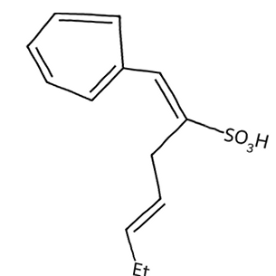 CCC=CCC(=Cc1ccccc1)S(=O)(=O)O